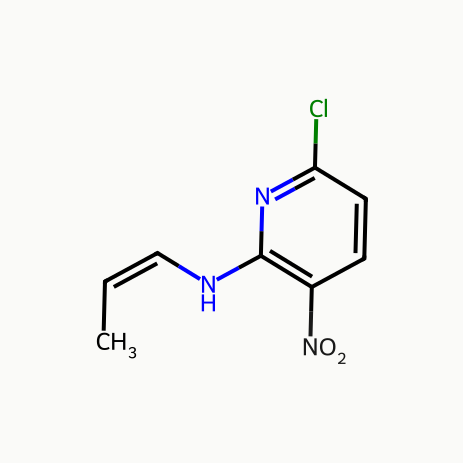 C/C=C\Nc1nc(Cl)ccc1[N+](=O)[O-]